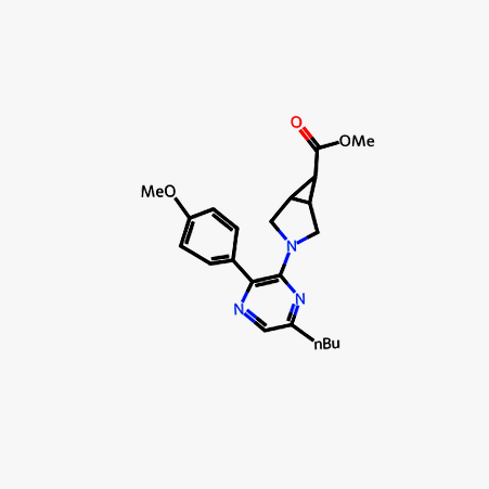 CCCCc1cnc(-c2ccc(OC)cc2)c(N2CC3C(C2)C3C(=O)OC)n1